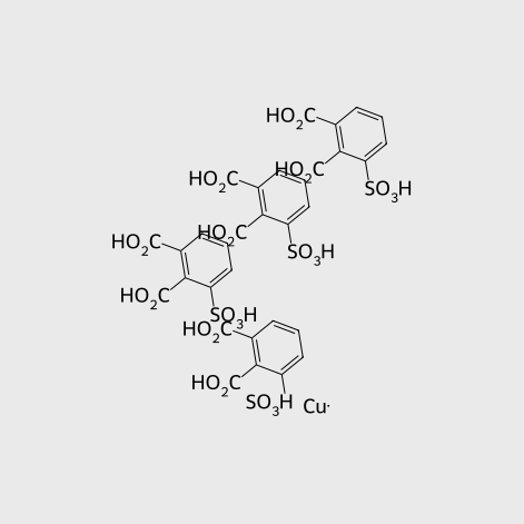 O=C(O)c1cccc(S(=O)(=O)O)c1C(=O)O.O=C(O)c1cccc(S(=O)(=O)O)c1C(=O)O.O=C(O)c1cccc(S(=O)(=O)O)c1C(=O)O.O=C(O)c1cccc(S(=O)(=O)O)c1C(=O)O.[Cu]